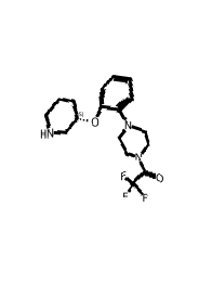 O=C(N1CCN(c2ccccc2O[C@H]2CCCNC2)CC1)C(F)(F)F